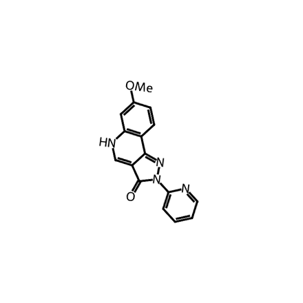 COc1ccc2c3nn(-c4ccccn4)c(=O)c-3c[nH]c2c1